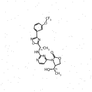 C[C@H](Nc1nccc(N2C(=O)OCC2[C@@H](C)O)n1)c1nc(-c2cccc(OC(F)(F)F)c2)no1